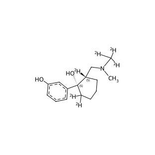 [2H]C([2H])([2H])N(C)C[C@]1([2H])CCCC([2H])([2H])[C@@]1(O)c1cccc(O)c1